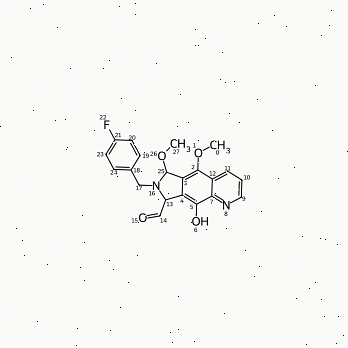 COc1c2c(c(O)c3ncccc13)C(C=O)N(Cc1ccc(F)cc1)C2OC